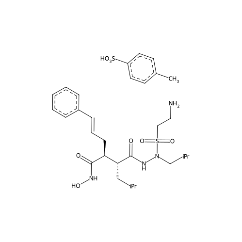 CC(C)C[C@@H](C(=O)NN(CC(C)C)S(=O)(=O)CCN)[C@H](CC=Cc1ccccc1)C(=O)NO.Cc1ccc(S(=O)(=O)O)cc1